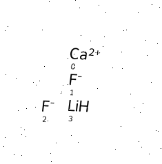 [Ca+2].[F-].[F-].[LiH]